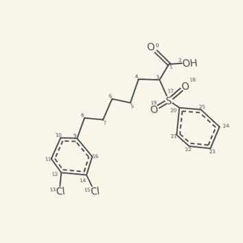 O=C(O)C(CCCCCc1ccc(Cl)c(Cl)c1)S(=O)(=O)c1ccccc1